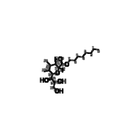 CCCCCCCCOC(=O)C1(F)OC([C@H](O)[C@H](O)CO)C(C)C(C)C1F